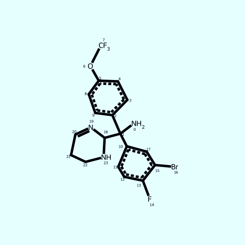 NC(c1ccc(OC(F)(F)F)cc1)(c1ccc(F)c(Br)c1)C1N=CCCN1